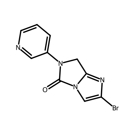 O=C1N(c2cccnc2)Cc2nc(Br)cn21